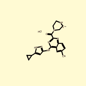 C[C@@H]1CN(C(=O)c2nc(Nc3cc(C4CC4)[nH]n3)c3cc(C#N)ccc3n2)CCN1.Cl